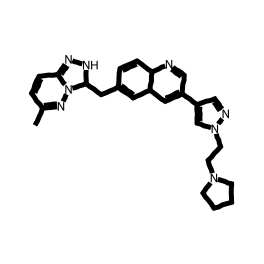 CC1=NN2C(=NNC2CC2=CC3C=C(c4cnn(CCN5CCCC5)c4)C=NC3C=C2)C=C1